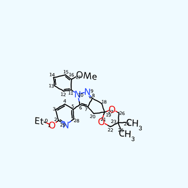 CCOc1ccc(-c2c3c(nn2-c2ccccc2OC)CC2(C3)OCC(C)(C)CO2)cn1